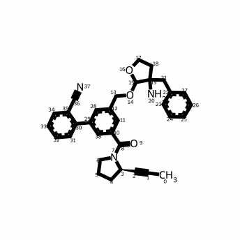 CC#C[C@H]1CCCN1C(=O)c1cc(COC2OCCC2(N)Cc2ccccc2)cc(-c2ccccc2C#N)c1